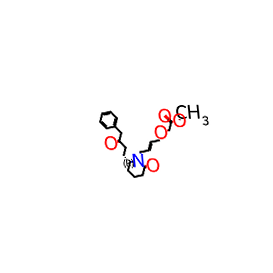 COC(=O)COCC=CCN1C(=O)CCC[C@@H]1CCC(=O)Cc1ccccc1